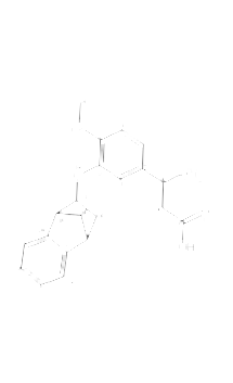 COc1ccc(C(N)CC(=O)O)cc1OC1CC2CC1c1ccccc12